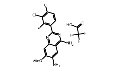 COc1cc2nc(-c3ccc(Cl)c(Cl)c3F)nc(N)c2cc1N.O=C(O)C(F)(F)F